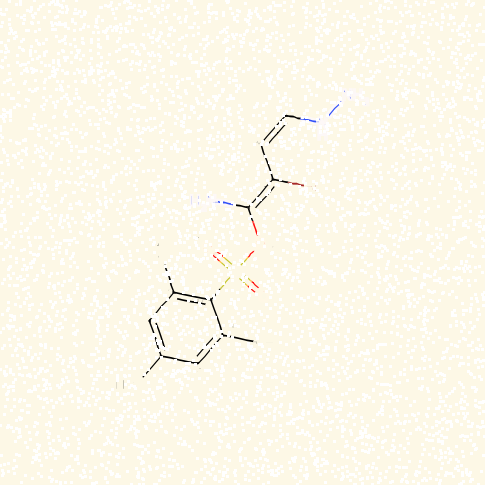 Cc1cc(C)c(S(=O)(=O)O/C(N)=C(Br)/C=C\NN)c(C)c1